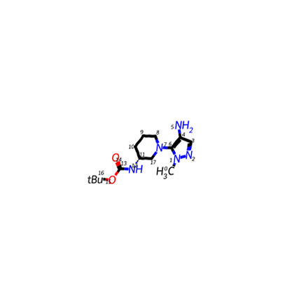 Cn1ncc(N)c1N1CCC[C@@H](NC(=O)OC(C)(C)C)C1